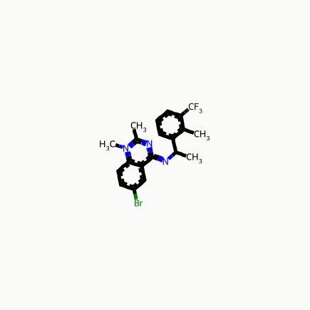 Cc1c(C(C)/N=c2\nc(C)n(C)c3ccc(Br)cc23)cccc1C(F)(F)F